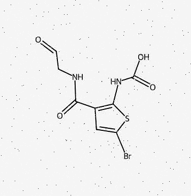 O=CCNC(=O)c1cc(Br)sc1NC(=O)O